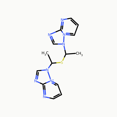 CC(SC(C)n1cnc2nccc[n+]21)n1cnc2nccc[n+]21